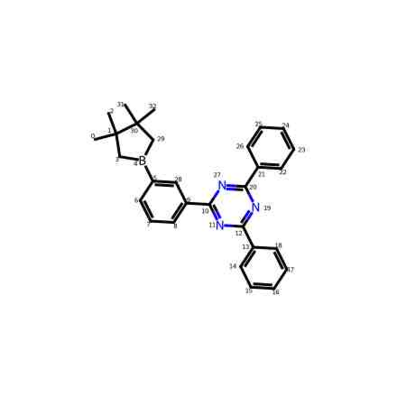 CC1(C)CB(c2cccc(-c3nc(-c4ccccc4)nc(-c4ccccc4)n3)c2)CC1(C)C